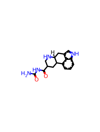 NC(=O)NC(=O)C1CN[C@@H]2Cc3c[nH]c4cccc(c34)C2C1